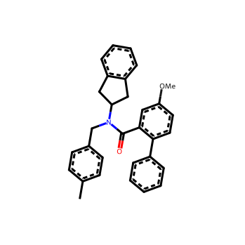 COc1ccc(-c2ccccc2)c(C(=O)N(Cc2ccc(C)cc2)C2Cc3ccccc3C2)c1